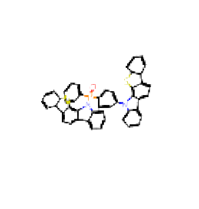 O=P(c1ccccc1)(c1ccc(-n2c3ccccc3c3ccc4c(c32)SC2C=CC=CC42)cc1)n1c2ccccc2c2ccc3c(c21)SC1C=CC=CC31